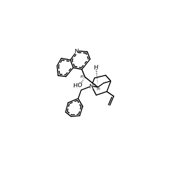 C=CC1C[N+]2(Cc3ccccc3)CCC1C[C@@H]2[C@H](O)c1ccnc2ccccc12